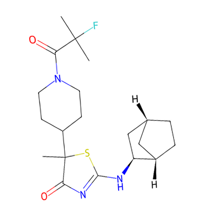 CC(C)(F)C(=O)N1CCC(C2(C)SC(N[C@H]3C[C@@H]4CC[C@H]3C4)=NC2=O)CC1